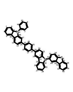 c1ccc(-n2c3ccccc3c3ccc(-c4ccc(-c5ccc6c(c5)c5ccccc5n6-c5ccc6sc7ccccc7c6c5)cc4)cc32)cc1